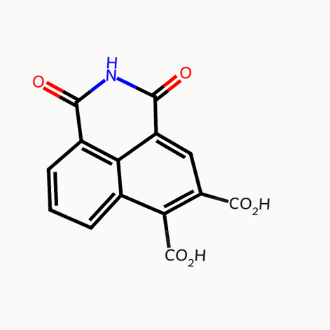 O=C(O)c1cc2c3c(cccc3c1C(=O)O)C(=O)NC2=O